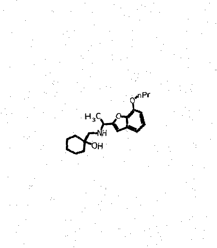 CCCOc1cccc2cc(C(C)NCC3(O)CCCCC3)oc12